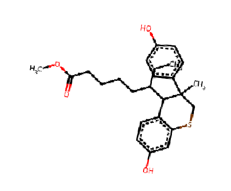 CCC(CCCCC(=O)OC)C1c2ccc(O)cc2SCC1(C)c1ccc(O)cc1